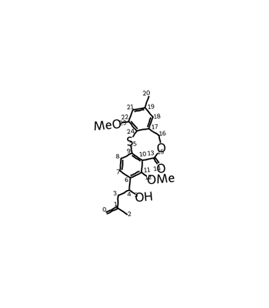 C=C(C)CC(O)c1ccc2c(c1OC)C(=O)OCc1cc(C)cc(OC)c1S2